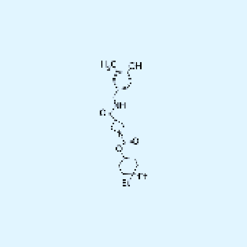 CCC1(CC)CCC(OC(=O)N2CC(C(=O)NCc3ccc(O)c(C)c3)C2)CC1